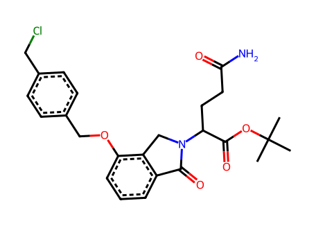 CC(C)(C)OC(=O)C(CCC(N)=O)N1Cc2c(OCc3ccc(CCl)cc3)cccc2C1=O